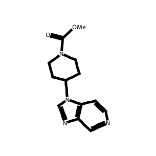 COC(=O)N1CCC(n2cnc3cnccc32)CC1